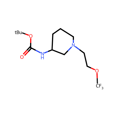 CC(C)(C)OC(=O)NC1CCCN(CCOC(F)(F)F)C1